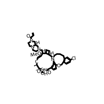 C=CC(=O)N1CCN2CCN(C[C@]3(OC)/C=C/C[C@H](C)[C@@H](C)S(=O)(=O)NC(=O)c4ccc5c(c4)N(CCCCc4cc(Cl)ccc4CO5)C[C@@H]4CC[C@H]43)C[C@@H]2C1